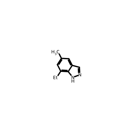 CCc1cc(C)cc2cn[nH]c12